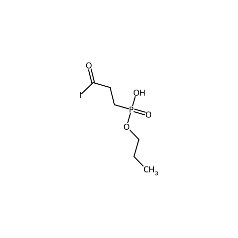 CCCOP(=O)(O)CCC(=O)I